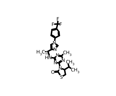 Cc1nc(N[C@@H](C)c2cn(-c3ccc(C(F)(F)F)cc3)cn2)nc(N2C(=O)SCC2C(C)C)n1